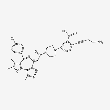 Cc1sc2c(c1C)C(c1ccc(Cl)cc1)=N[C@@H](CC(=O)N1CCN(c3ccc(C#CCCN)c(C(=O)O)c3)CC1)c1nnc(C)n1-2